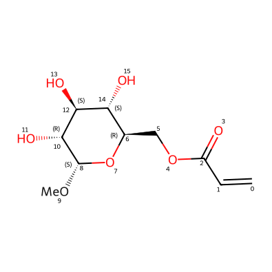 C=CC(=O)OC[C@H]1O[C@H](OC)[C@H](O)[C@@H](O)[C@@H]1O